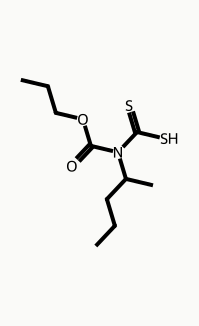 CCCOC(=O)N(C(=S)S)C(C)CCC